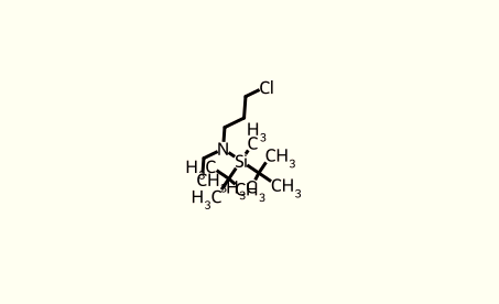 CCN(CCCCl)[Si](C)(C(C)(C)C)C(C)(C)C